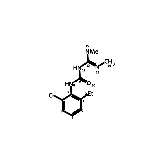 CCc1cccc(Cl)c1NC(=O)NC(=NC)NC